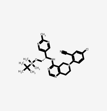 Cc1ncc([C@@H](CO[Si](C)(C)C(C)(C)C)Nc2ncnc3c2CN(c2ccc(Cl)cc2C#N)CC3)cn1